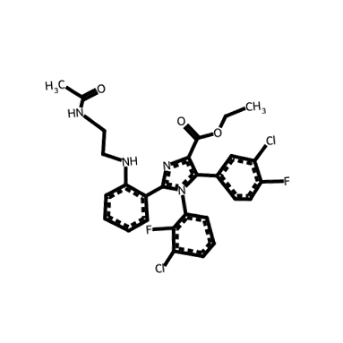 CCOC(=O)c1nc(-c2ccccc2NCCNC(C)=O)n(-c2cccc(Cl)c2F)c1-c1ccc(F)c(Cl)c1